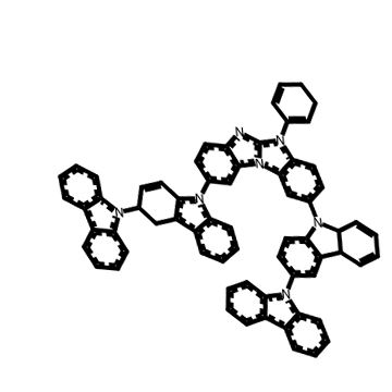 C1=CC2c3cc(-n4c5ccccc5c5ccccc54)ccc3N(c3ccc4c(c3)n3c5cc(-n6c7c(c8ccccc86)CC(n6c8ccccc8c8ccccc86)C=C7)ccc5nc3n4C3=CCCC=C3)C2C=C1